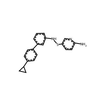 Nc1ccc(SNc2cccc(-c3ccc(C4CC4)cc3)c2)cn1